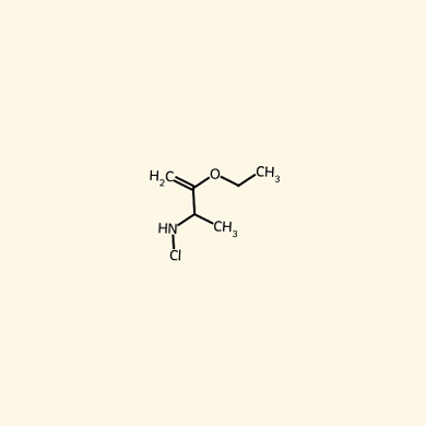 C=C(OCC)C(C)NCl